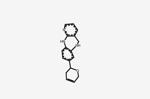 C1=CCC(c2ccc3c(c2)NCc2cccnc2N3)OC1